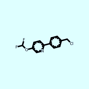 FC(F)Oc1ccc(-c2ccc(CCl)cc2)nc1